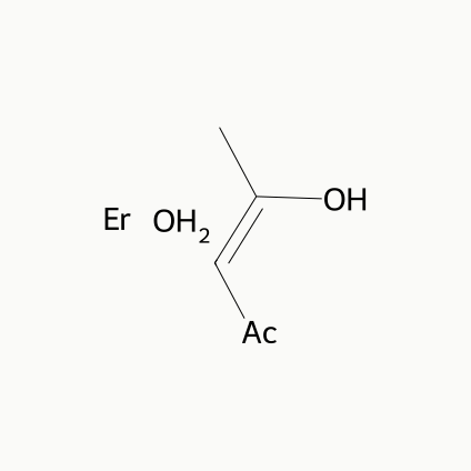 CC(=O)/C=C(/C)O.O.[Er]